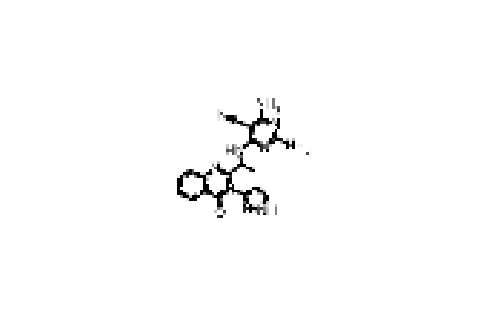 CC(Nc1nc(N)nc(N)c1C#N)c1nc2ccccc2c(=O)n1-c1cc[nH]n1